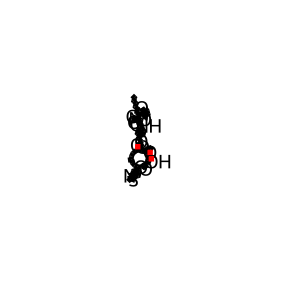 C=CCC1C(=O)C(C)(C)C(O)CC(=O)OC(c2ccc3sc(C)nc3c2)C/C=C(/C)CCCC(C)C1OC(=O)OCc1ccc(NC(=O)CC(C(CCCCCCC)N2C(=O)C=CC2=O)[N+](=O)[O-])cc1